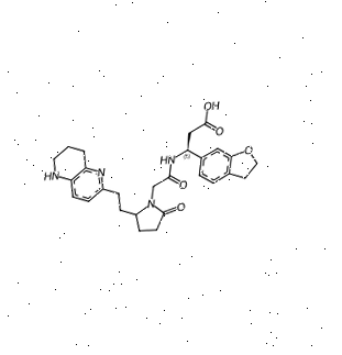 O=C(O)C[C@H](NC(=O)CN1C(=O)CCC1CCc1ccc2c(n1)CCCN2)c1ccc2c(c1)OCC2